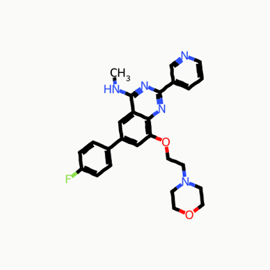 CNc1nc(-c2cccnc2)nc2c(OCCN3CCOCC3)cc(-c3ccc(F)cc3)cc12